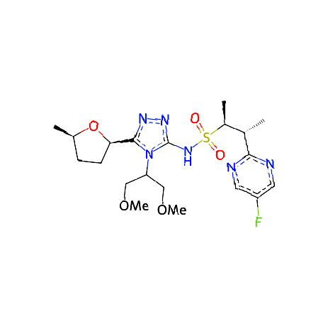 COCC(COC)n1c(NS(=O)(=O)[C@@H](C)[C@H](C)c2ncc(F)cn2)nnc1[C@H]1CC[C@@H](C)O1